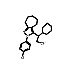 OCC(c1c2c(nn1-c1ccc(Cl)cc1)CCCCC2)C1CCCCC1